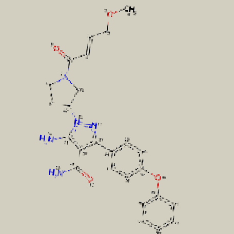 COCC=CC(=O)N1CC[C@@H](n2nc(-c3ccc(Oc4ccccc4)cc3)c(C(N)=O)c2N)C1